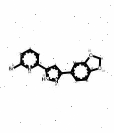 Brc1cccc(-c2cc(-c3ccc4c(c3)OCO4)n[nH]2)n1